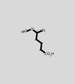 CCCOC(CC)CCCC(=O)O